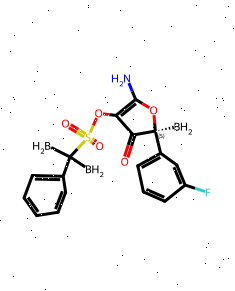 BC(B)(c1ccccc1)S(=O)(=O)OC1=C(N)O[C@@](B)(c2cccc(F)c2)C1=O